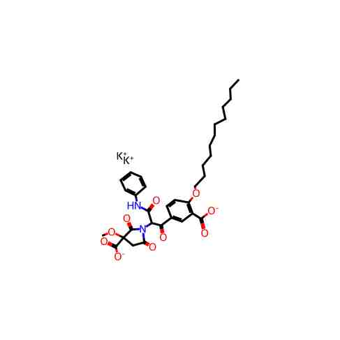 CCCCCCCCCCCCOc1ccc(C(=O)C(C(=O)Nc2ccccc2)N2C(=O)CC(OC)(C(=O)[O-])C2=O)cc1C(=O)[O-].[K+].[K+]